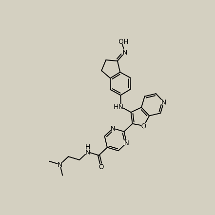 CN(C)CCNC(=O)c1cnc(-c2oc3cnccc3c2Nc2ccc3c(c2)CCC3=NO)nc1